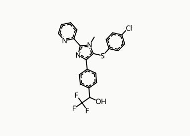 Cn1c(-c2ccccn2)nc(-c2ccc(C(O)C(F)(F)F)cc2)c1Sc1ccc(Cl)cc1